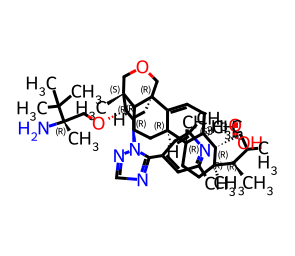 Cc1cc(-c2ncnn2[C@@H]2C[C@@]34COC[C@](C)([C@@H]3CC[C@H]3C4=CC[C@@]4(C)[C@H](C(=O)O)[C@@](C)([C@H](C)C(C)C)CC[C@]34C)[C@H]2OC[C@](C)(N)C(C)(C)C)cc(C)n1